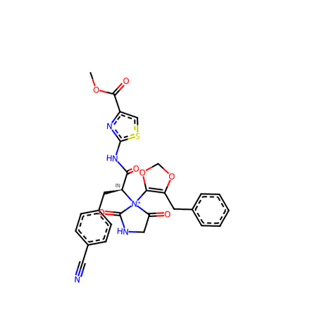 COC(=O)c1csc(NC(=O)[C@H](Cc2ccc(C#N)cc2)[N+]2(C3=C(Cc4ccccc4)OCO3)C(=O)CNC2=O)n1